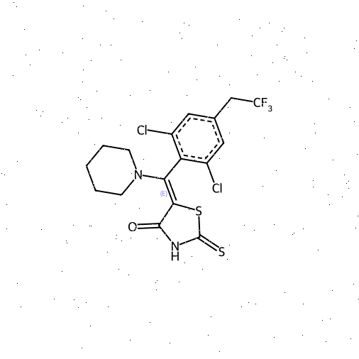 O=C1NC(=S)S/C1=C(\c1c(Cl)cc(CC(F)(F)F)cc1Cl)N1CCCCC1